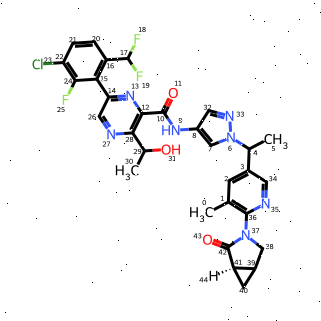 Cc1cc(C(C)n2cc(NC(=O)c3nc(-c4c(C(F)F)ccc(Cl)c4F)cnc3C(C)O)cn2)cnc1N1CC2C[C@H]2C1=O